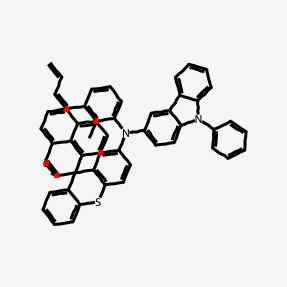 C=C/C=C\c1cccc(N(c2ccc3c(c2)C2(c4ccccc4S3)c3ccccc3-c3cccc4cccc2c34)c2ccc3c(c2)c2ccccc2n3-c2ccccc2)c1C